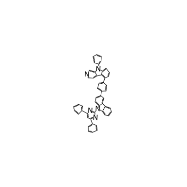 c1ccc(-c2cc(-c3ccccc3)nc(-n3c4ccccc4c4cc(-c5ccc(-c6cccc7c6c6ccncc6n7-c6ccccc6)cc5)ccc43)n2)cc1